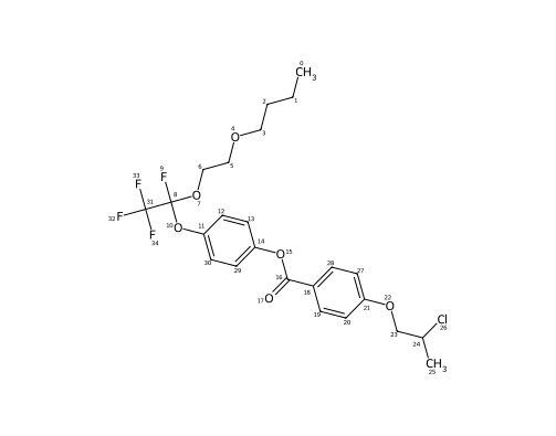 CCCCOCCOC(F)(Oc1ccc(OC(=O)c2ccc(OCC(C)Cl)cc2)cc1)C(F)(F)F